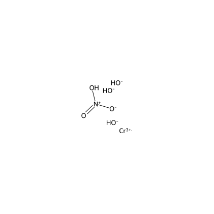 O=[N+]([O-])O.[Cr+3].[OH-].[OH-].[OH-]